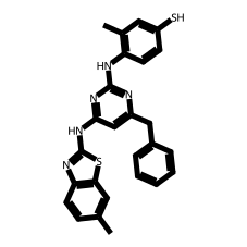 Cc1ccc2nc(Nc3cc(Cc4ccccc4)nc(Nc4ccc(S)cc4C)n3)sc2c1